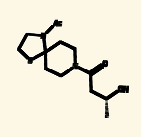 CC(=O)N1CCSC12CCN(C(=O)C[C@@H](C)O)CC2